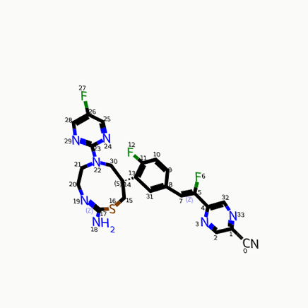 N#Cc1cnc(/C(F)=C/c2ccc(F)c([C@@H]3CS/C(N)=N\CCN(c4ncc(F)cn4)C3)c2)cn1